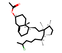 CC(=O)O[C@H]1CC[C@@]2(C)C(=CCC[C@@H]2CC[C@@]2(C)[C@H](C)CC[C@@H]2[C@H](C)CCCC(C)Cl)C1